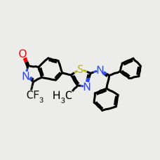 Cc1nc(N=C(c2ccccc2)c2ccccc2)sc1-c1ccc2c(c1)C(C(F)(F)F)=NC2=O